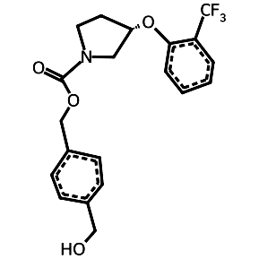 O=C(OCc1ccc(CO)cc1)N1CC[C@H](Oc2ccccc2C(F)(F)F)C1